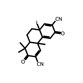 CC1(C)C(=O)C(C#N)=CC2(C)C3=CC(=O)C(C#N)=CC3(I)CCC12